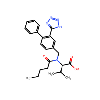 CCCCC(=O)N(Cc1ccc(-c2ccccc2)c(-c2nnn[nH]2)c1)[C@@H](C(=O)O)C(C)C